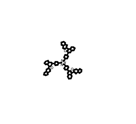 c1ccc2cc3c(cc2c1)oc1c(-c2ccc(-c4nc(-c5ccc(-c6cc7ccccc7c7c6oc6cc8ccccc8cc67)cc5)nc(-c5ccc(-c6cc7ccccc7c7c6oc6cc8ccccc8cc67)cc5)n4)cc2)cc2ccccc2c13